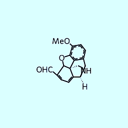 COc1ccc2c3c1OC1C(C=O)=CC=C4[C@H](C2)NCC[C@@]431